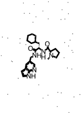 CN1CCCC1C(=O)N[C@@H](CC1CCCCC1)C(=O)NCc1cnc2[nH]ccc2c1